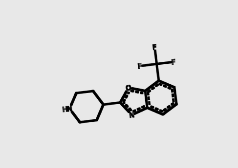 FC(F)(F)c1cccc2nc(C3CCNCC3)oc12